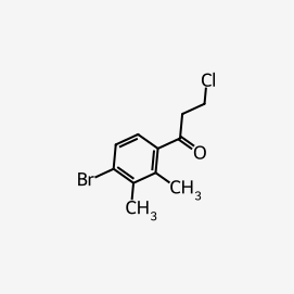 Cc1c(Br)ccc(C(=O)CCCl)c1C